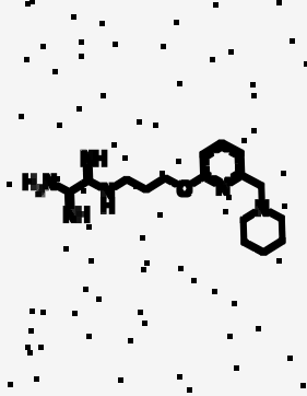 N=C(N)C(=N)NCCCOc1cccc(CN2CCCCC2)n1